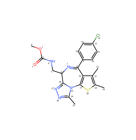 COC(=O)NCC1N=C(c2ccc(Cl)cc2)c2c(sc(C)c2C)-n2c(C)nnc21